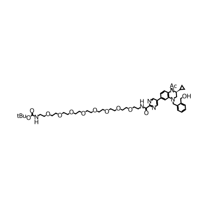 CC(=O)N1c2ccc(-c3cnc(C(=O)NCCOCCOCCOCCOCCOCCOCCOCCOCCNC(=O)OC(C)(C)C)nc3)cc2N(Cc2ccccc2CO)C[C@@H]1C1CC1